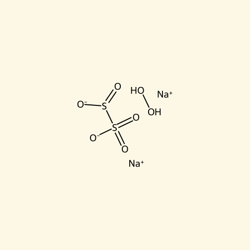 O=S([O-])S(=O)(=O)[O-].OO.[Na+].[Na+]